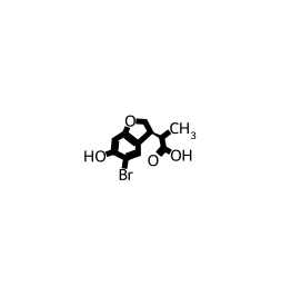 CC(C(=O)O)[C@@H]1COc2cc(O)c(Br)cc21